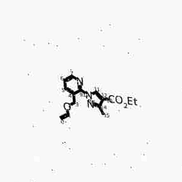 C=COCc1cccnc1-n1cc(C(=O)OCC)c(C)n1